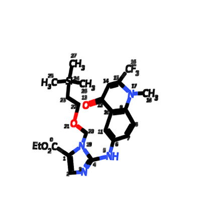 CCOC(=O)c1cnc(Nc2ccc3c(c2)c(=O)cc(C(F)(F)F)n3C)n1COCC[Si](C)(C)C